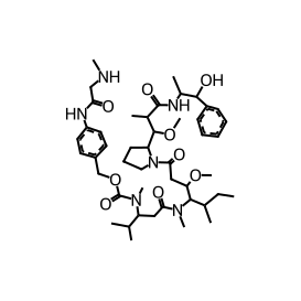 CCC(C)C(C(CC(=O)N1CCCC1C(OC)C(C)C(=O)NC(C)C(O)c1ccccc1)OC)N(C)C(=O)CC(C(C)C)N(C)C(=O)OCc1ccc(NC(=O)CNC)cc1